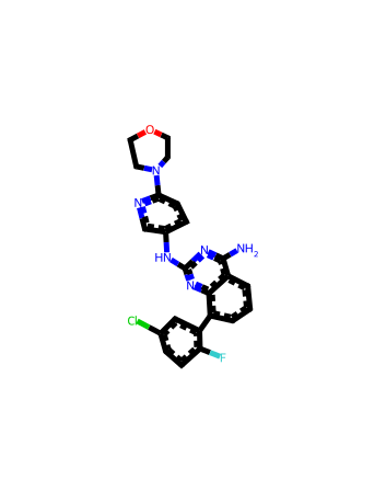 Nc1nc(Nc2ccc(N3CCOCC3)nc2)nc2c(-c3cc(Cl)ccc3F)cccc12